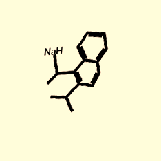 CC(C)c1ccc2ccccc2c1C(C)C.[NaH]